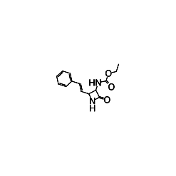 CCOC(=O)NC1C(=O)NC1C=Cc1ccccc1